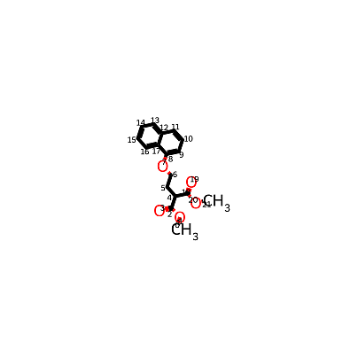 COC(=O)C(CCOc1cccc2ccccc12)C(=O)OC